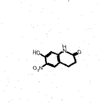 O=C1CCc2cc([N+](=O)[O-])c(O)cc2N1